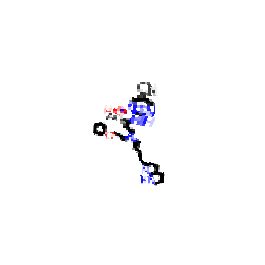 CC(=O)[C@H](CCN(CCCCc1ccc2c(n1)NCCC2)CCOc1ccccc1)Nc1ncc(C#N)c[n+]1O